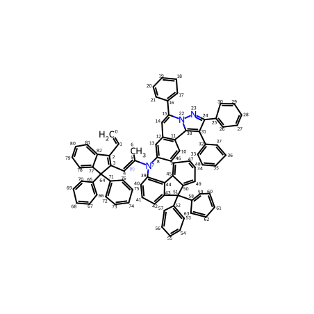 C=CC1=C(/C=C(\C)N(c2ccc3c(c2)cc(-c2ccccc2)n2nc(-c4ccccc4)c(-c4ccccc4)c32)c2cccc3c2-c2ccccc2C3(c2ccccc2)c2ccccc2)C(c2ccccc2)(c2ccccc2)c2ccccc21